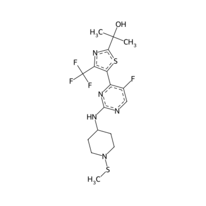 CSN1CCC(Nc2ncc(F)c(-c3sc(C(C)(C)O)nc3C(F)(F)F)n2)CC1